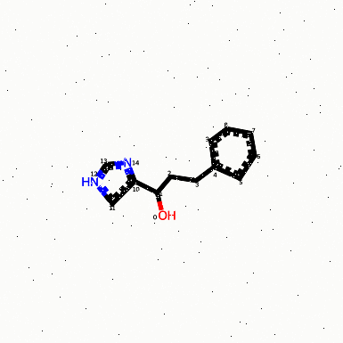 OC(CCc1ccccc1)c1c[nH]cn1